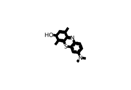 CC1=CC(O)C(C)=C2Sc3cc(N(C)C)ccc3N=C12